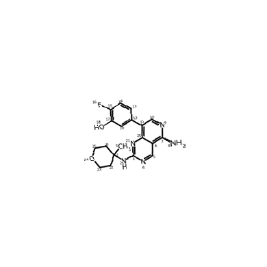 CC1(Nc2ncc3c(N)ncc(-c4ccc(F)c(O)c4)c3n2)CCOCC1